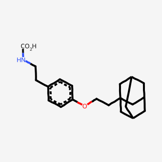 O=C(O)NCCc1ccc(OCCC23CC4CC(CC(C4)C2)C3)cc1